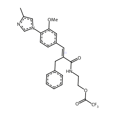 COc1cc(/C=C(\Cc2ccccc2)C(=O)NCCOC(=O)C(F)(F)F)ccc1-n1cnc(C)c1